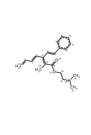 C=CC=CC(C=Cc1ccccc1)=C(C)C(=O)OCCN(C)C